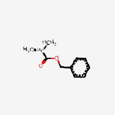 C=[13C]([13CH3])C(=O)OCc1ccccc1